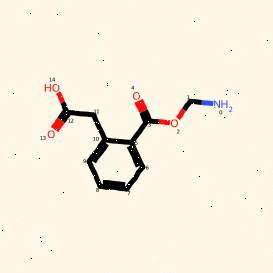 NCOC(=O)c1ccccc1CC(=O)O